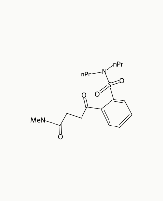 CCCN(CCC)S(=O)(=O)c1ccccc1C(=O)CCC(=O)NC